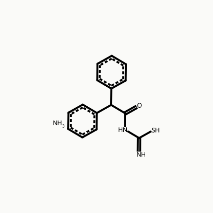 N.N=C(S)NC(=O)C(c1ccccc1)c1ccccc1